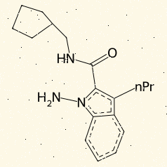 CCCc1c(C(=O)NCC2CCCC2)n(N)c2ccccc12